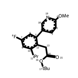 COc1ccc(-c2cc(F)cc(C(C)C)c2CC(=O)OC(C)(C)C)cn1